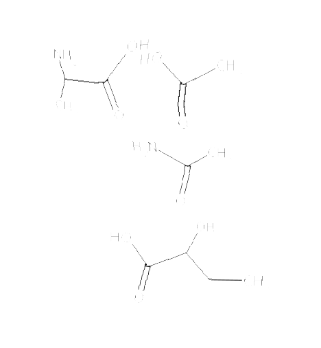 CC(=O)O.CC(N)=O.CC(N)C(=O)O.CCC(O)C(=O)O